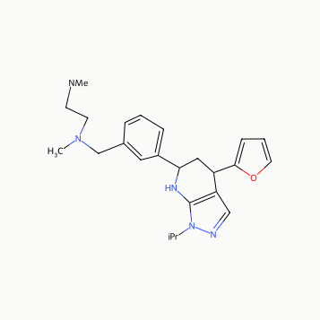 CNCCN(C)Cc1cccc(C2CC(c3ccco3)c3cnn(C(C)C)c3N2)c1